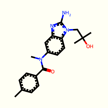 Cc1ccc(C(=O)N(C)c2ccc3c(c2)nc(N)n3CC(C)(C)O)cc1